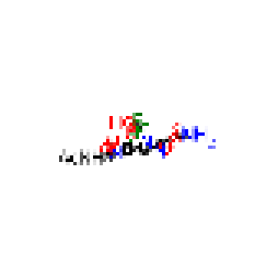 CC(=O)NC[C@H]1CN(c2ccc(-c3ccc(-c4cc(COC(=O)CN)on4)nc3)c(F)c2)C(=O)O1.O=C(O)C(F)(F)F